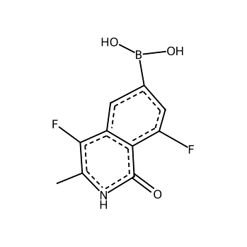 Cc1[nH]c(=O)c2c(F)cc(B(O)O)cc2c1F